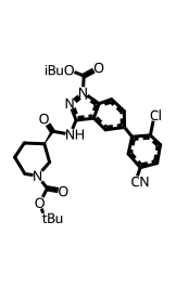 CC(C)COC(=O)n1nc(NC(=O)[C@@H]2CCCN(C(=O)OC(C)(C)C)C2)c2cc(-c3cc(C#N)ccc3Cl)ccc21